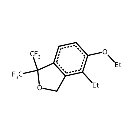 CCOc1ccc2c(c1CC)COC2(C(F)(F)F)C(F)(F)F